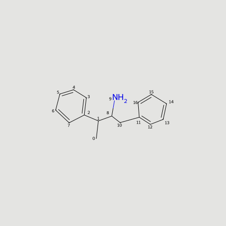 CC(c1ccccc1)C(N)Cc1ccccc1